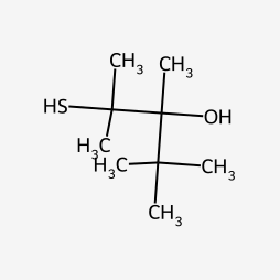 CC(C)(C)C(C)(O)C(C)(C)S